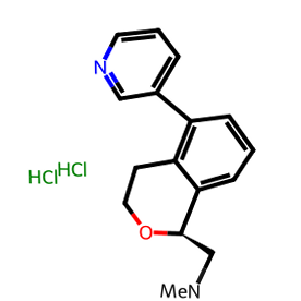 CNC[C@H]1OCCc2c(-c3cccnc3)cccc21.Cl.Cl